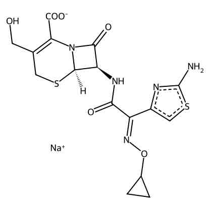 Nc1nc(/C(=N\OC2CC2)C(=O)N[C@@H]2C(=O)N3C(C(=O)[O-])=C(CO)CS[C@H]23)cs1.[Na+]